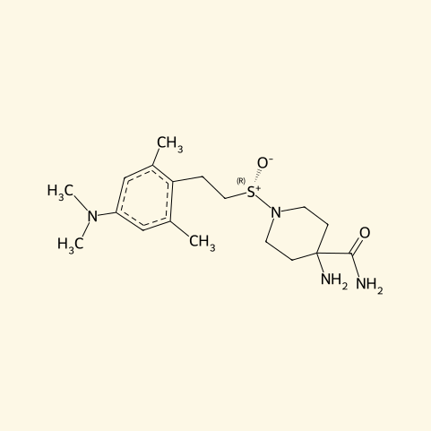 Cc1cc(N(C)C)cc(C)c1CC[S@+]([O-])N1CCC(N)(C(N)=O)CC1